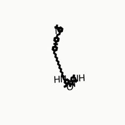 C=Cc1cc(NCCCCCCCCCCCCCCc2ccc(C(C)(C)c3ccc(CCc4cccc(C(=C)C)n4)cc3)cc2)ccc1C(=O)N(C)C1CCC(=C)NC1=C